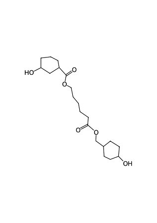 O=C(CCCCCOC(=O)C1CCCC(O)C1)OCC1CCC(O)CC1